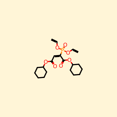 C=COP(=O)(OC=C)/C(=C/C(=O)OC1CCCCC1)C(=O)OC1CCCCC1